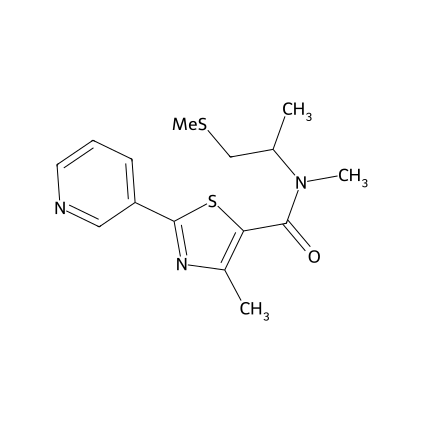 CSCC(C)N(C)C(=O)c1sc(-c2cccnc2)nc1C